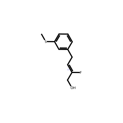 CSc1cccc(C/C=C(\F)CO)c1